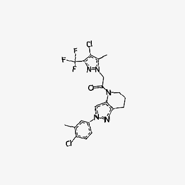 Cc1cc(-n2cc3c(n2)CCCN3C(=O)Cn2nc(C(F)(F)F)c(Cl)c2C)ccc1Cl